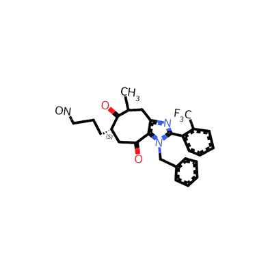 CC1Cc2nc(-c3ccccc3C(F)(F)F)n(Cc3ccccc3)c2C(=O)C[C@H](CCCN=O)C1=O